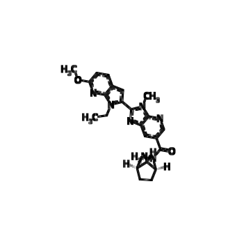 CCn1c(-c2nc3cc(C(=O)N4C[C@@H]5CC[C@H]4[C@H]5N)cnc3n2C)cc2ccc(OC)nc21